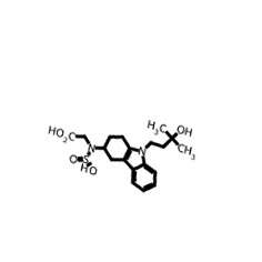 CC(C)(O)CCn1c2c(c3ccccc31)CC(N(CC(=O)O)[SH](=O)=O)CC2